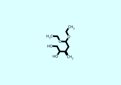 C=C(CC(OCC)OCC)C(O)CO